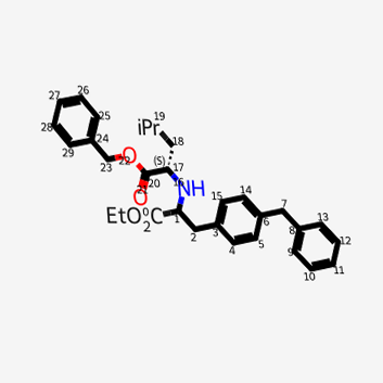 CCOC(=O)C(Cc1ccc(Cc2ccccc2)cc1)N[C@@H](CC(C)C)C(=O)OCc1ccccc1